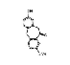 CSc1ccc2c(c1)C(=O)Cc1cc(C)ccc1S2